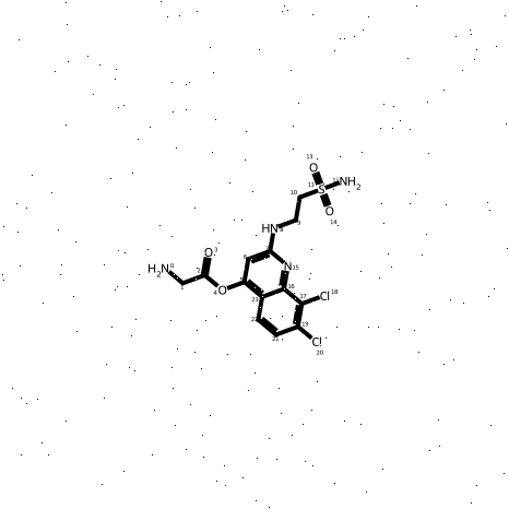 NCC(=O)Oc1cc(NCCS(N)(=O)=O)nc2c(Cl)c(Cl)ccc12